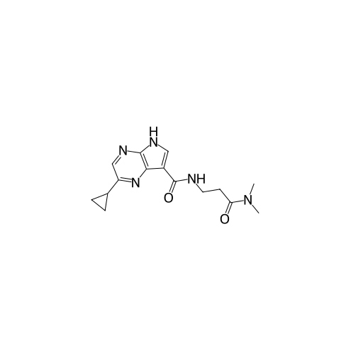 CN(C)C(=O)CCNC(=O)c1c[nH]c2ncc(C3CC3)nc12